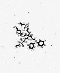 C=CC[Si](C)(C)CCC[Si](CCCP(c1ccccc1)c1ccccc1)(CCC[Si](C)(C)CC=C)CCC[Si](C)(C)CC=C